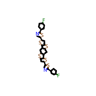 Fc1ccc(-c2ncc(-c3cc4sc5cc6c(cc5c4s3)sc3cc(-c4cnc(-c5ccc(F)cc5)s4)sc36)s2)cc1